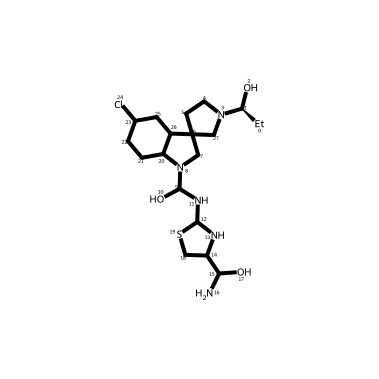 CC[C@H](O)N1CCC2(CN(C(O)NC3NC(C(N)O)CS3)C3CCC(Cl)CC32)C1